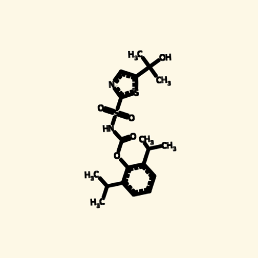 CC(C)c1cccc(C(C)C)c1OC(=O)NS(=O)(=O)c1ncc(C(C)(C)O)s1